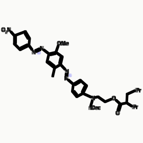 CCCCCCCCCCN(CCOC(=O)C(CC(C)C)C(C)C)c1ccc(/N=N/c2cc(OC)c(/N=N/c3ccc([N+](=O)[O-])cc3)cc2C)cc1